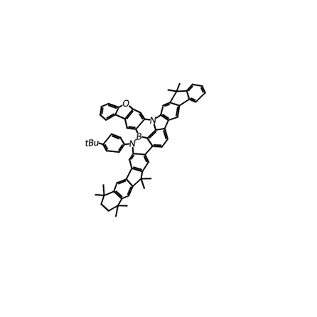 CC(C)(C)c1ccc(N2B3c4cc5c(cc4-n4c6cc7c(cc6c6ccc(c3c64)-c3cc4c(cc32)-c2cc3c(cc2C4(C)C)C(C)(C)CCC3(C)C)-c2ccccc2C7(C)C)oc2ccccc25)cc1